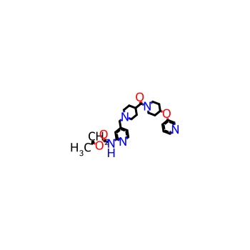 C=C(C)OC(=O)Nc1cc(CN2CCC(C(=O)N3CCC(Oc4cccnc4)CC3)CC2)ccn1